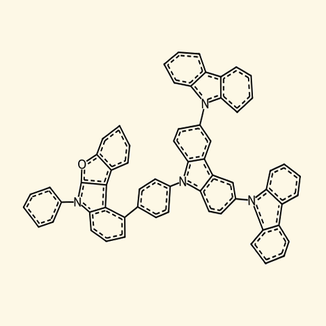 c1ccc(-n2c3cccc(-c4ccc(-n5c6ccc(-n7c8ccccc8c8ccccc87)cc6c6cc(-n7c8ccccc8c8ccccc87)ccc65)cc4)c3c3c4ccccc4oc32)cc1